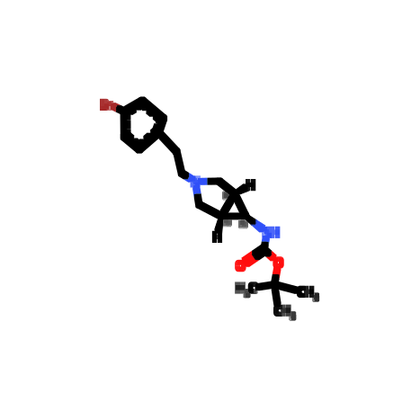 CC(C)(C)OC(=O)N[C@H]1[C@@H]2CN(CCc3ccc(Br)cc3)C[C@@H]21